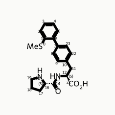 CSc1ccccc1-c1ccc(C[C@H](NC(=O)[C@@H]2CCCN2)C(=O)O)cc1